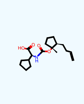 C=CCC[C@@H]1CCC[C@@]1(C)OC(=O)N[C@H](C(=O)O)C1CCCC1